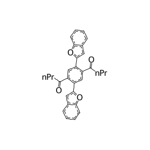 CCCC(=O)c1cc(-c2cc3ccccc3o2)c(C(=O)CCC)cc1-c1cc2ccccc2o1